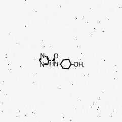 O=C(N[C@H]1CC[C@H](O)CC1)c1cncnc1